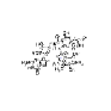 CC(C)/C=C/[C@@H](C[C@@H]1O[C@](O)(C[C@@H](O)C(C)C)C[C@H](O)[C@H]1C(=O)NCC1OC(n2cnc3c(=O)[nH]c(N)nc32)C(O)C1O)OC1OC(C)C(O)C(N)C1O